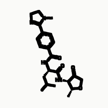 CC(C)C[C@H](NC(=O)c1ccc(C2=NCCN2C)cc1)C(=O)N[C@@H]1C(=O)CO[C@@H]1C